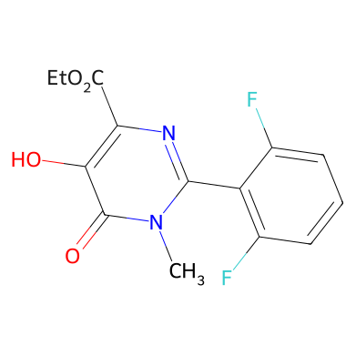 CCOC(=O)c1nc(-c2c(F)cccc2F)n(C)c(=O)c1O